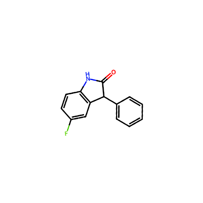 O=C1Nc2ccc(F)cc2C1c1ccccc1